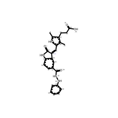 Cc1[nH]c(/C=C2\C(=O)Nc3ccc(C(=O)NNc4ccccc4)cc32)c(C)c1CCC(=O)O